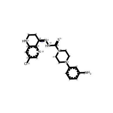 Nc1cccc(N2CCN(C(=S)N/N=C3/CCNc4cc(Cl)cnc43)CC2)c1